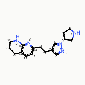 c1nn([C@@H]2CCNC2)cc1CCc1ccc2c(n1)NCCC2